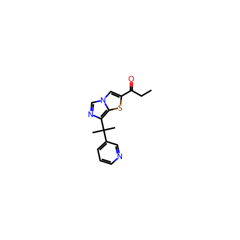 CCC(=O)c1cn2cnc(C(C)(C)c3cccnc3)c2s1